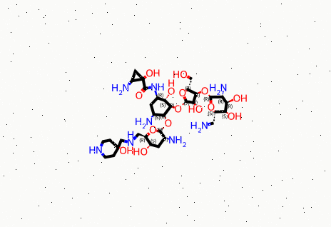 NC[C@@H]1O[C@H](O[C@H]2[C@@H](O)[C@H](O[C@@H]3[C@@H](O)[C@H](NC(=O)C4(O)CC4N)C[C@H](N)[C@H]3O[C@H]3O[C@H](CNCC4(O)CCNCC4)[C@@H](O)C[C@H]3N)O[C@@H]2CO)[C@H](N)[C@@H](O)[C@@H]1O